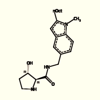 CCCCCCCCc1cc2cc(CNC(=O)[C@H]3NCC[C@@H]3O)ccc2n1C